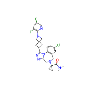 CN(C)C(=O)C1(N2Cc3cc(Cl)ccc3-n3c(nnc3C3CC4(C3)CN(c3ncc(F)cc3F)C4)C2)CC1